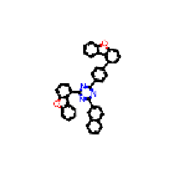 c1ccc2cc(-c3nc(-c4ccc(-c5cccc6oc7ccccc7c56)cc4)nc(-c4cccc5oc6ccccc6c45)n3)ccc2c1